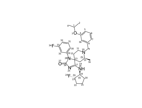 CC(C)Oc1cccc(CN2CCC3(C[C@@H]2C)C(N[C@H]2CCC[C@@H]2F)=NC(=O)N3c2cccc(F)c2)c1